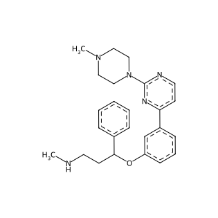 CNCCC(Oc1cccc(-c2ccnc(N3CCN(C)CC3)n2)c1)c1ccccc1